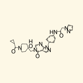 O=C(Cn1cccn1)Nc1ccc(-n2ncc3c(=O)n(CC4(O)CCN(C(=O)C5CC5)CC4)cnc32)cc1